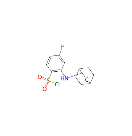 O=S(=O)(Cl)c1ccc(F)cc1NC1CC2CCC1CC2